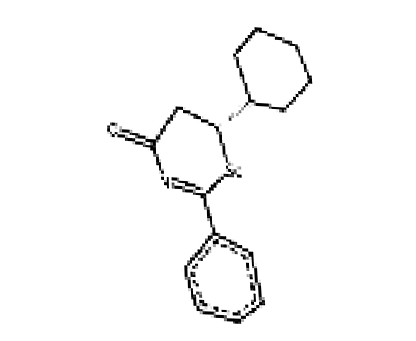 O=C1C[C@H](C2CCCCC2)[Se]C(c2ccccc2)=N1